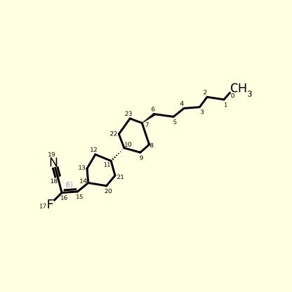 CCCCCCC[C@H]1CC[C@H](C2CCC(/C=C(/F)C#N)CC2)CC1